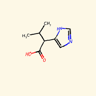 CC(C)C(C(=O)O)c1cnc[nH]1